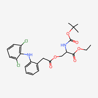 CCOC(=O)C(COC(=O)Cc1ccccc1Nc1c(Cl)cccc1Cl)NC(=O)OC(C)(C)C